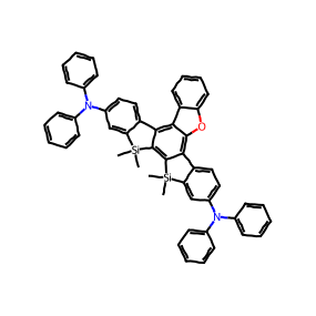 C[Si]1(C)c2cc(N(c3ccccc3)c3ccccc3)ccc2-c2c1c1c(c3c2oc2ccccc23)-c2ccc(N(c3ccccc3)c3ccccc3)cc2[Si]1(C)C